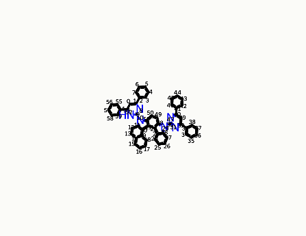 C1=C(c2ccccc2)N=C(n2c3ccc4ccccc4c3c3c4c5ccccc5n(-c5nc(-c6ccccc6)cc(-c6ccccc6)n5)c4ccc32)NC1c1ccccc1